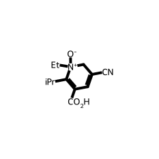 CC[N+]1([O-])CC(C#N)=CC(C(=O)O)=C1C(C)C